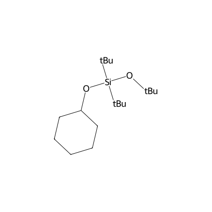 CC(C)(C)O[Si](OC1CCCCC1)(C(C)(C)C)C(C)(C)C